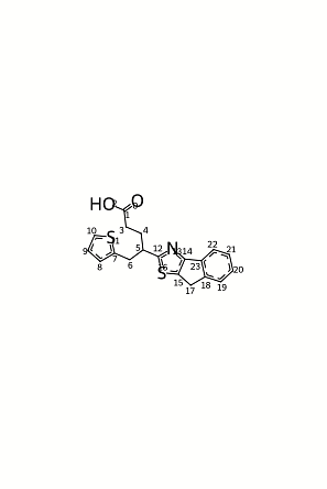 O=C(O)CCC(Cc1cccs1)c1nc2c(s1)Cc1ccccc1-2